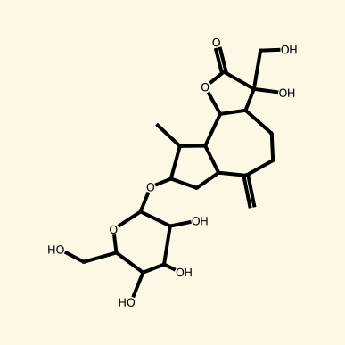 C=C1CCC2C(OC(=O)C2(O)CO)C2C1CC(OC1OC(CO)C(O)C(O)C1O)C2C